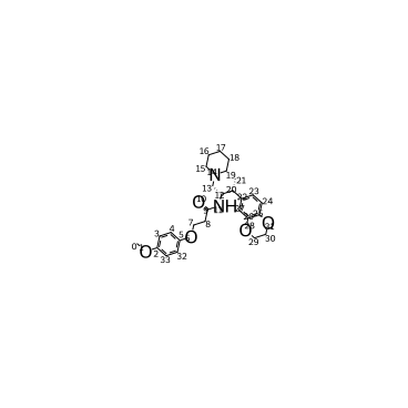 COc1ccc(OCCC(=O)N[C@H](CN2CCCCC2)[C@H](C)c2ccc3c(c2)OCCO3)cc1